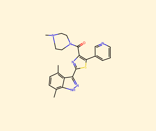 Cc1ccc(C)c2c(-c3nc(C(=O)N4CCN(C)CC4)c(-c4cccnc4)s3)n[nH]c12